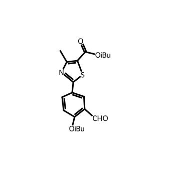 Cc1nc(-c2ccc(OCC(C)C)c(C=O)c2)sc1C(=O)OCC(C)C